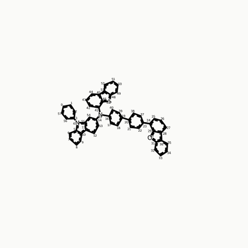 c1ccc(-n2c3ccccc3c3ccc(N(c4ccc(-c5ccc(-c6cccc7c6oc6ccccc67)cc5)cc4)c4cccc5c4sc4ccccc45)cc32)cc1